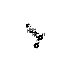 Cc1cc(-c2cnc(-n3cccn3)[nH]2)nn1Cc1cc(Cl)ccc1OCc1ccccc1